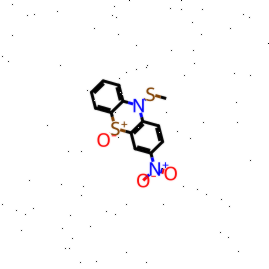 CSN1c2ccccc2[S+]([O-])c2cc([N+](=O)[O-])ccc21